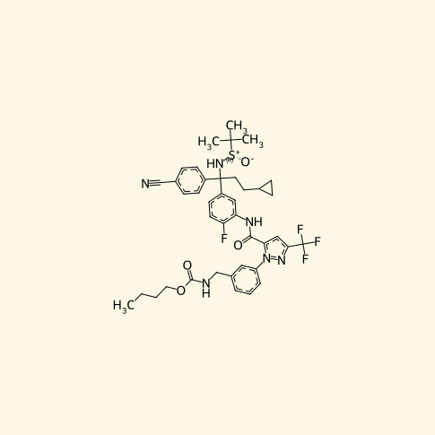 CCCCOC(=O)NCc1cccc(-n2nc(C(F)(F)F)cc2C(=O)Nc2cc(C(CCC3CC3)(N[S@@+]([O-])C(C)(C)C)c3ccc(C#N)cc3)ccc2F)c1